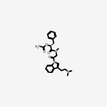 CN(C)CCc1cn(C(=O)CN(C)C(=O)[C@H](Cc2ccccc2)OC(N)=O)c2ccccc12